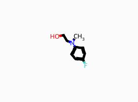 CN(CCO)c1ccc(F)cc1